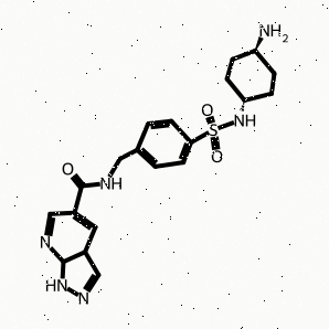 N[C@H]1CC[C@H](NS(=O)(=O)c2ccc(CNC(=O)C3=CC4C=NNC4N=C3)cc2)CC1